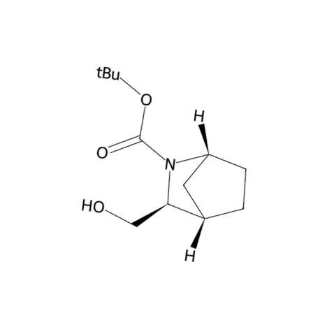 CC(C)(C)OC(=O)N1[C@@H]2CC[C@@H](C2)[C@H]1CO